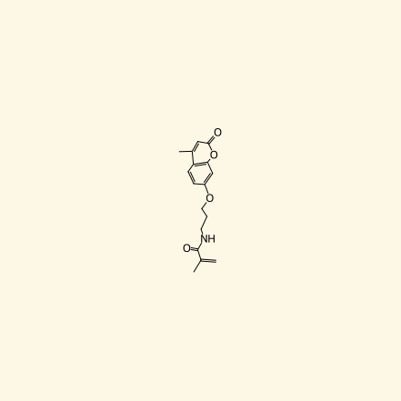 C=C(C)C(=O)NCCCOc1ccc2c(C)cc(=O)oc2c1